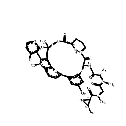 CCc1ccncc1-c1c2c3cc(ccc3n1CC)-c1cc(O)cc(c1)C[C@H](NC(=O)[C@H](C(C)C)N(C)C(=O)CN(C)C(=O)[C@@H]1N[C@@H]1C(C)=O)C(=O)N1CCC[C@H](N1)C(=O)OCC(C)(C)C2